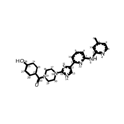 Cc1ccnc(Nc2cccc(-c3cnc(N4CCN(C(=O)C5CCC(O)CC5)CC4)s3)n2)c1